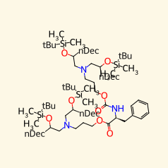 CCCCCCCCCCC(CN(CCCOC(=O)N[C@@H](Cc1ccccc1)C(=O)OCCCN(CC(CCCCCCCCCC)O[Si](C)(C)C(C)(C)C)CC(CCCCCCCCCC)O[Si](C)(C)C(C)(C)C)CC(CCCCCCCCCC)O[Si](C)(C)C(C)(C)C)O[Si](C)(C)C(C)(C)C